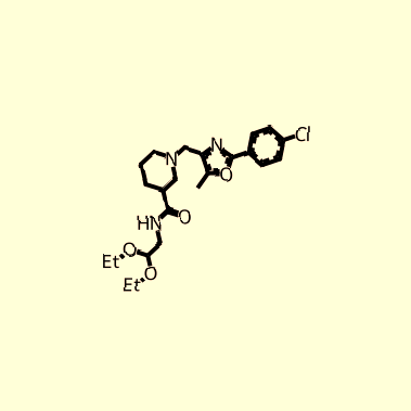 CCOC(CNC(=O)C1CCCN(Cc2nc(-c3ccc(Cl)cc3)oc2C)C1)OCC